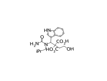 CC(C)CN(C(N)=O)C(c1c[nH]c2ccccc12)C(CCO)(C(=O)O)C(=O)O